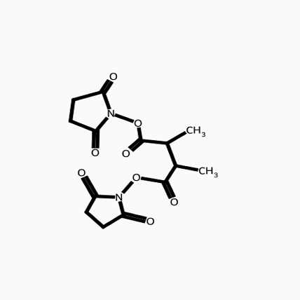 CC(C(=O)ON1C(=O)CCC1=O)C(C)C(=O)ON1C(=O)CCC1=O